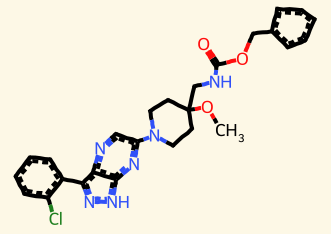 COC1(CNC(=O)OCc2ccccc2)CCN(c2cnc3c(-c4ccccc4Cl)n[nH]c3n2)CC1